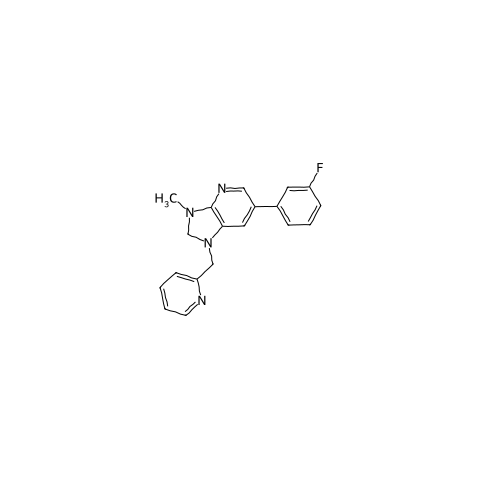 CN1CN(Cc2ccccn2)c2cc(-c3cccc(F)c3)cnc21